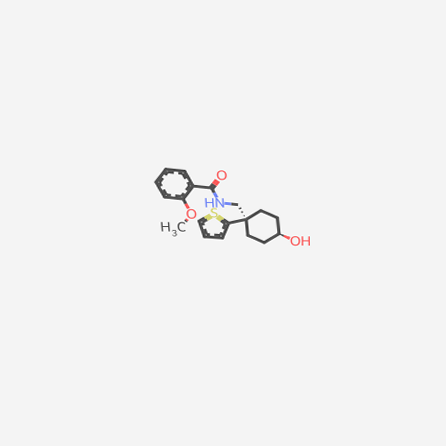 COc1ccccc1C(=O)NC[C@]1(c2cccs2)CC[C@@H](O)CC1